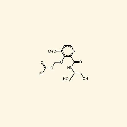 COc1ccnc(C(=O)N[C@@H](CO)C(=O)O)c1OCOC(=O)C(C)C